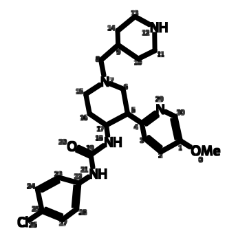 COc1ccc(C2CN(CC3CCNCC3)CCC2NC(=O)Nc2ccc(Cl)cc2)nc1